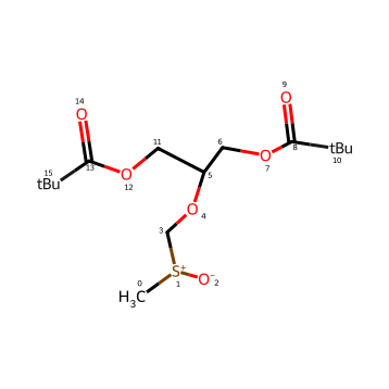 C[S+]([O-])COC(COC(=O)C(C)(C)C)COC(=O)C(C)(C)C